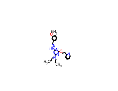 CCCN(CCC)c1nc(N/N=C/c2cccc(OC)c2)nc(OCCc2ccccn2)n1